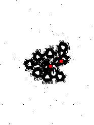 c1ccc(-c2ccccc2-n2c3ccccc3c3c(-n4c5cc(-n6c7ccccc7c7ccccc76)ccc5c5cccc([Si](c6ccccc6)(c6ccccc6)c6ccccc6)c54)cccc32)cc1